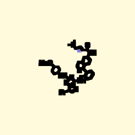 COC1CCC(CNc2nc(NCc3ccccc3-c3nccc4cc(NC(=O)/C=C/CN(C)C)ccc34)n3ncc(C(C)C)c3n2)CC1